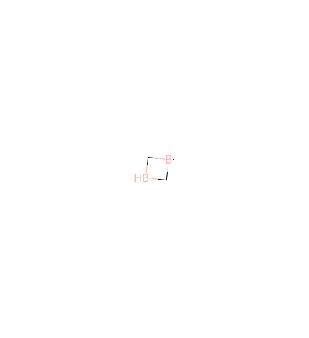 [B]1CBC1